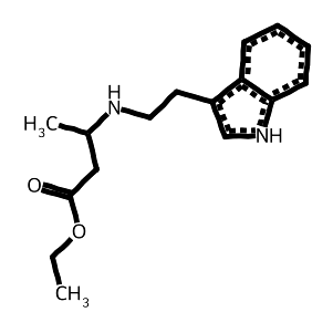 CCOC(=O)CC(C)NCCc1c[nH]c2ccccc12